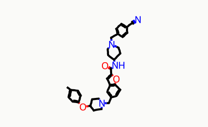 Cc1ccc(OC2CCN(Cc3ccc4oc(C(=O)NC5CCN(Cc6ccc(C#N)cc6)CC5)cc4c3)CC2)cc1